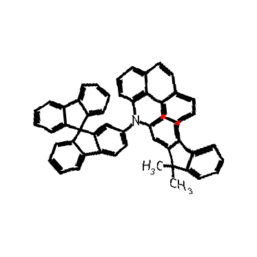 CC1(C)c2ccccc2-c2ccc(N(c3ccc4c(c3)C3(c5ccccc5-c5ccccc53)c3ccccc3-4)c3cccc4ccc5ccccc5c34)cc21